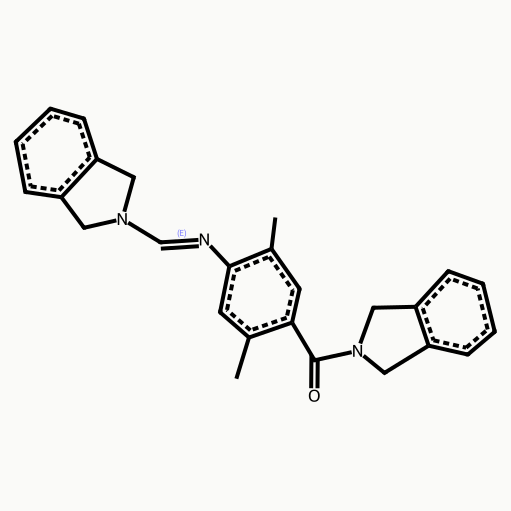 Cc1cc(C(=O)N2Cc3ccccc3C2)c(C)cc1/N=C/N1Cc2ccccc2C1